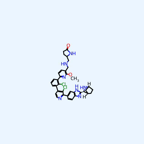 COc1nc(-c2cccc(-c3ccnc(-c4ccc5nc([C@H]6N[C@@H]7CC[C@H]6C7)[nH]c5c4)c3Cl)c2Cl)ccc1CNCC1CCC(=O)N1